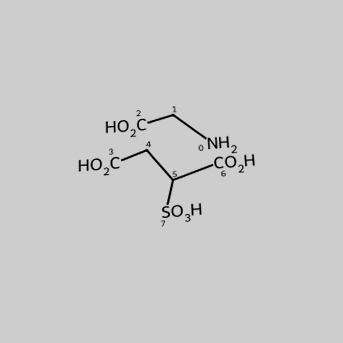 NCC(=O)O.O=C(O)CC(C(=O)O)S(=O)(=O)O